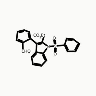 CCOC(=O)c1c(-c2ccccc2C=O)c2ccccc2n1S(=O)(=O)c1ccccc1